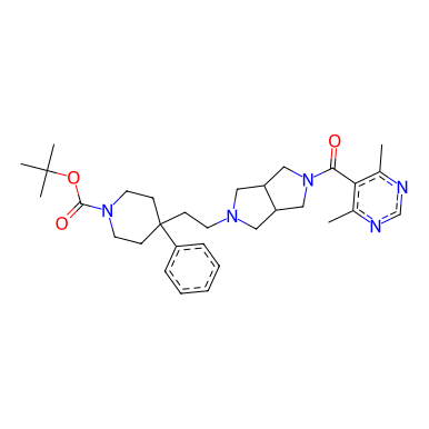 Cc1ncnc(C)c1C(=O)N1CC2CN(CCC3(c4ccccc4)CCN(C(=O)OC(C)(C)C)CC3)CC2C1